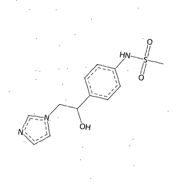 CS(=O)(=O)Nc1ccc(C(O)Cn2ccnc2)cc1